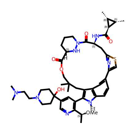 CCn1c(-c2cc(C3(O)CCN(CCN(C)C)CC3)cnc2[C@H](C)OC)c2c3cc(ccc31)-c1csc(n1)C[C@H](NC(=O)[C@H]1[C@H](C)[C@@H]1C)C(=O)N1CCC[C@H](N1)C(=O)OCC(C)(C)C2